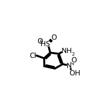 Nc1c([N+](=O)O)ccc(Cl)c1[SH](=O)=O